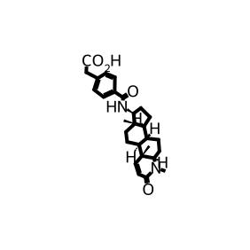 CN1C(=O)C=C[C@]2(C)[C@H]3CC[C@]4(C)[C@@H](NC(=O)c5ccc(CC(=O)O)cc5)CC[C@H]4[C@@H]3CC[C@@H]12